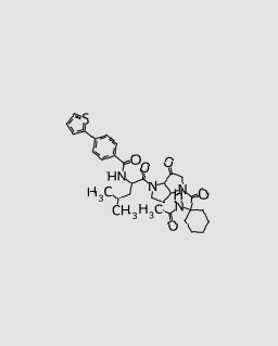 CC(=O)NC1(C(=O)N2CC(=O)C3C2CCN3C(=O)C(CC(C)C)NC(=O)c2ccc(-c3cccs3)cc2)CCCCC1